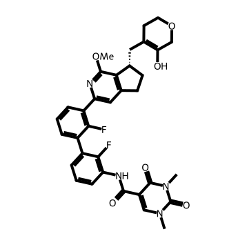 COc1nc(-c2cccc(-c3cccc(NC(=O)c4cn(C)c(=O)n(C)c4=O)c3F)c2F)cc2c1[C@H](CC1=C(O)COCC1)CC2